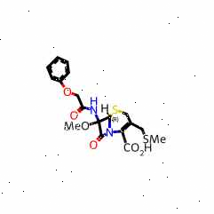 COC1(NC(=O)COc2ccccc2)C(=O)N2C(C(=O)O)=C(CSC)CS[C@@H]21